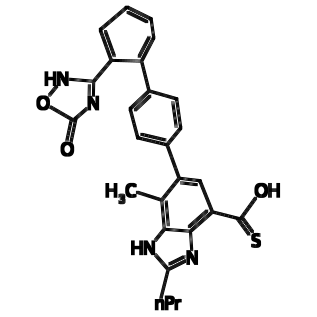 CCCc1nc2c(C(O)=S)cc(-c3ccc(-c4ccccc4-c4nc(=O)o[nH]4)cc3)c(C)c2[nH]1